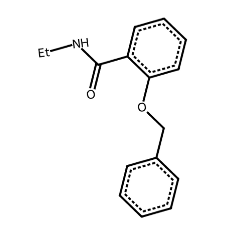 [CH2]CNC(=O)c1ccccc1OCc1ccccc1